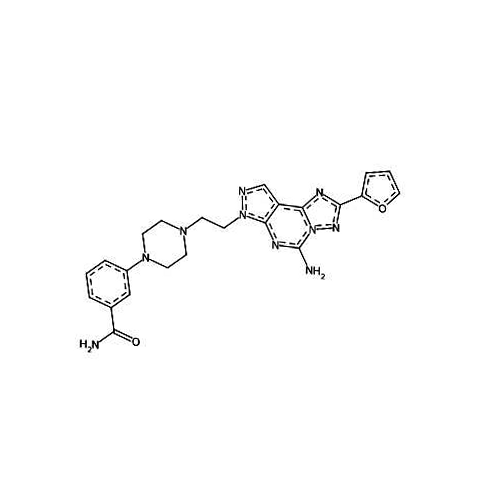 NC(=O)c1cccc(N2CCN(CCn3ncc4c3nc(N)n3nc(-c5ccco5)nc43)CC2)c1